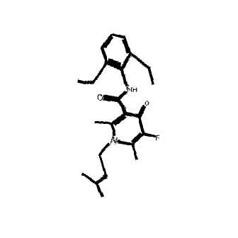 CCc1cccc(CC)c1NC(=O)c1c(C)n(CCC(C)C)c(C)c(F)c1=O